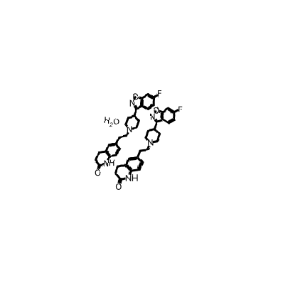 O.O=C1CCc2cc(CCN3CCC(c4noc5cc(F)ccc45)CC3)ccc2N1.O=C1CCc2cc(CCN3CCC(c4noc5cc(F)ccc45)CC3)ccc2N1